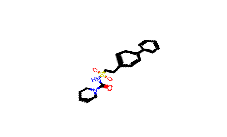 O=C(NS(=O)(=O)C=Cc1ccc(-c2ccccc2)cc1)N1CCCCC1